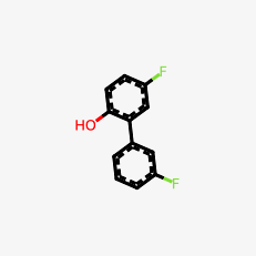 Oc1ccc(F)cc1-c1cccc(F)c1